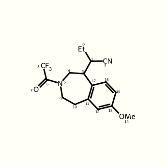 CCC(C#N)C1CN(C(=O)C(F)(F)F)CCc2cc(OC)ccc21